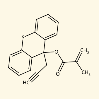 C#CCC1(OC(=O)C(=C)C)c2ccccc2Sc2ccccc21